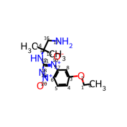 CCOc1ccc2c(c1)[n+]([O-])c(NC(C)(C)CN)n[n+]2[O-]